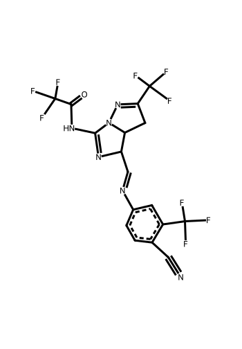 N#Cc1ccc(N=CC2N=C(NC(=O)C(F)(F)F)N3N=C(C(F)(F)F)CC23)cc1C(F)(F)F